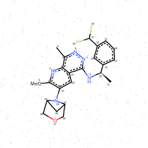 COc1nc2c(C)nnc(N[C@H](C)c3cccc(C(F)F)c3)c2cc1N1C2COCC1C2